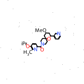 COC1CC(c2cccnc2)OC2(CCN(C(=O)c3ccc(OC(C)C)c(C)n3)CC2)C1